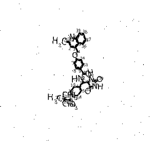 Cc1cc(COc2ccc(C(=O)NC(C3CCN(C(=O)C(C)(C)C)CC3)C3NC(=O)NC3=O)cc2)c2ccccc2n1